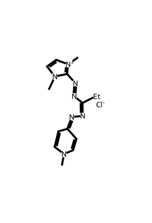 CCC(N=Nc1n(C)cc[n+]1C)=NN=c1ccn(C)cc1.[Cl-]